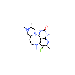 Cc1nc2c3c(nc(=O)n2C)N2CC(C)N(C)CC2CCNc3c1F